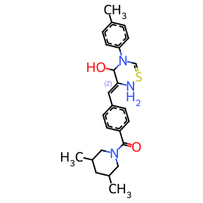 Cc1ccc(N(C=S)C(O)/C(N)=C/c2ccc(C(=O)N3CC(C)CC(C)C3)cc2)cc1